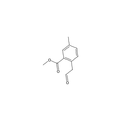 COC(=O)c1cc(C)ccc1CC=O